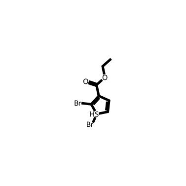 CCOC(=O)C1=C(Br)[SH](Br)C=C1